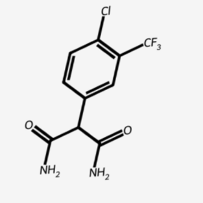 NC(=O)C(C(N)=O)c1ccc(Cl)c(C(F)(F)F)c1